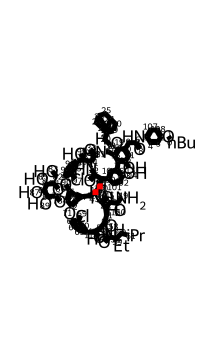 CCCCOc1ccc(NC(=O)Cc2cc(O)c3c(c2)[C@@H](C(=O)CC2C4CC5CC(C4)CC2C5)NC(=O)[C@H]2NC(=O)[C@H](CC(=O)[C@@H]4NC(=O)[C@H](CC(N)=O)CC(=O)[C@H](NC(=O)[C@H](CC)CC(C)C)[C@H](O)c5ccc(c(Cl)c5)Oc5cc4cc(c5OC4O[C@H](CO)[C@@H](O)[C@H](O)[C@H]4O)Oc4ccc(cc4Cl)[C@H]2O)c2ccc(O)c-3c2)cc1